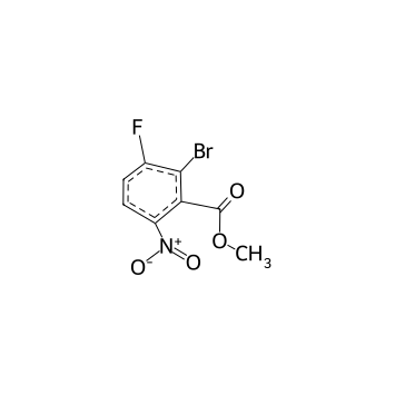 COC(=O)c1c([N+](=O)[O-])ccc(F)c1Br